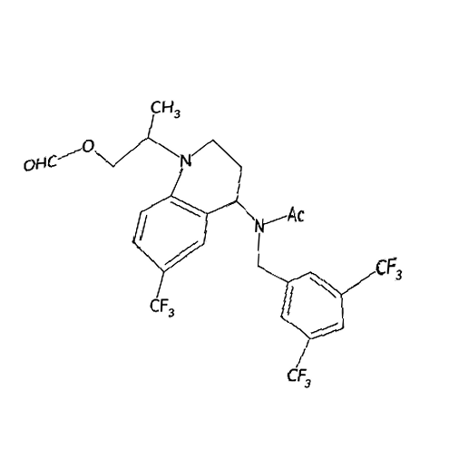 CC(=O)N(Cc1cc(C(F)(F)F)cc(C(F)(F)F)c1)C1CCN(C(C)COC=O)c2ccc(C(F)(F)F)cc21